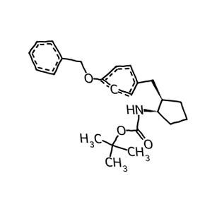 CC(C)(C)OC(=O)N[C@@H]1CCC[C@@H]1Cc1ccc(OCc2ccccc2)cc1